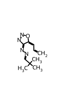 C=C/C=C1/ON=N/C1=N/N=C/C(C)(C)C